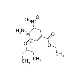 CCOC(=O)C1=C[C@@H](OC(CC)CC)[C@H](N)C([N+](=O)[O-])C1